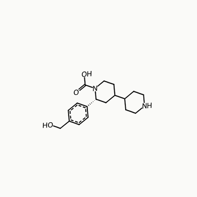 O=C(O)N1CCC(C2CCNCC2)C[C@@H]1c1ccc(CO)cc1